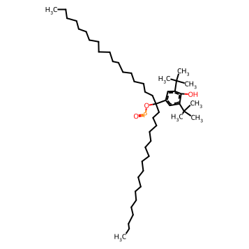 CCCCCCCCCCCCCCCCCCC(CCCCCCCCCCCCCCCCCC)(OP=O)c1cc(C(C)(C)C)c(O)c(C(C)(C)C)c1